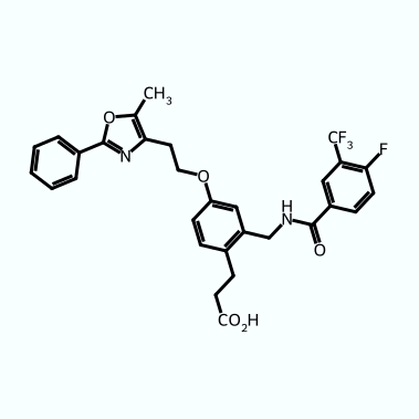 Cc1oc(-c2ccccc2)nc1CCOc1ccc(CCC(=O)O)c(CNC(=O)c2ccc(F)c(C(F)(F)F)c2)c1